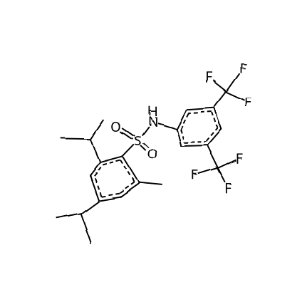 Cc1cc(C(C)C)cc(C(C)C)c1S(=O)(=O)Nc1cc(C(F)(F)F)cc(C(F)(F)F)c1